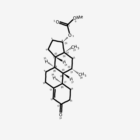 COC(=O)O[C@H]1CC[C@H]2[C@@H]3CCC4=CC(=O)CC[C@@H]4[C@H]3[C@@H](C)C[C@]12C